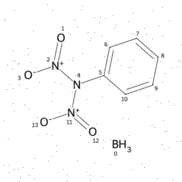 B.O=[N+]([O-])N(c1ccccc1)[N+](=O)[O-]